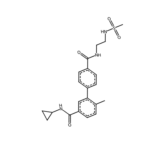 Cc1ccc(C(=O)NC2CC2)cc1-c1ccc(C(=O)NCCNS(C)(=O)=O)cc1